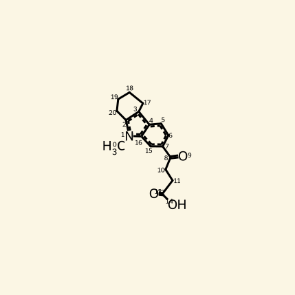 Cn1c2c(c3ccc(C(=O)CCC(=O)O)cc31)CCCC2